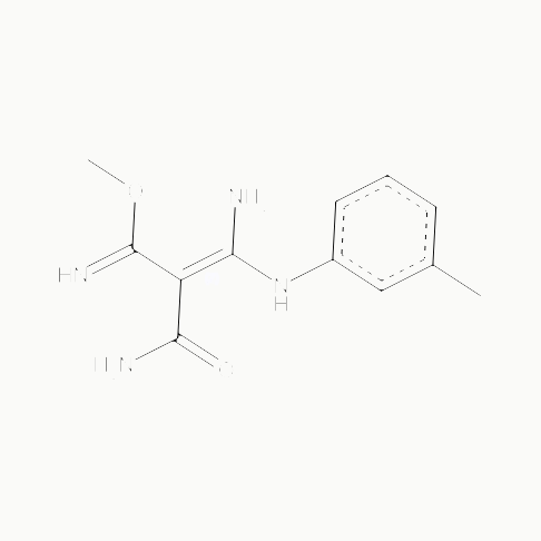 COC(=N)/C(C(N)=O)=C(\N)Nc1cccc(C)c1